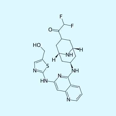 O=C(C(F)F)C1C[C@@H]2C[C@@H](Nc3nc(Nc4ncc(CO)s4)cc4ncccc34)C[C@H](C1)N2